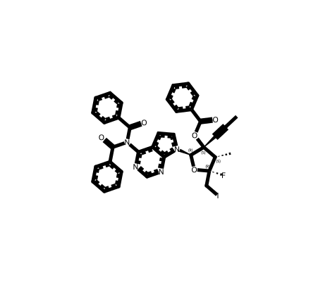 CC#C[C@]1(OC(=O)c2ccccc2)[C@H](n2ccc3c(N(C(=O)c4ccccc4)C(=O)c4ccccc4)ncnc32)O[C@](F)(CI)[C@H]1C